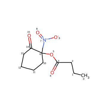 CCCC(=O)OC1([N+](=O)[O-])CCCCC1=O